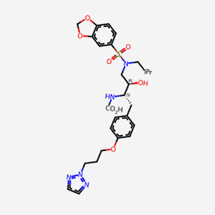 CC(C)CN(C[C@@H](O)[C@H](Cc1ccc(OCCCn2nccn2)cc1)NC(=O)O)S(=O)(=O)c1ccc2c(c1)OCO2